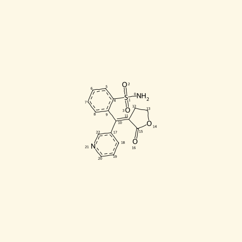 NS(=O)(=O)c1ccccc1C(=C1CCOC1=O)c1cccnc1